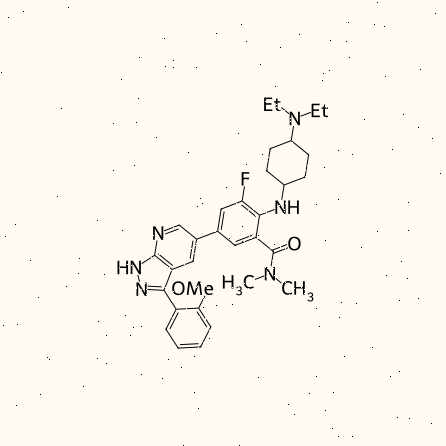 CCN(CC)C1CCC(Nc2c(F)cc(-c3cnc4[nH]nc(-c5ccccc5OC)c4c3)cc2C(=O)N(C)C)CC1